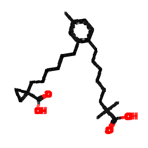 Cc1ccc(CCCCCCC(C)(C)C(=O)O)c(CCCCCCC2(C(=O)O)CC2)c1